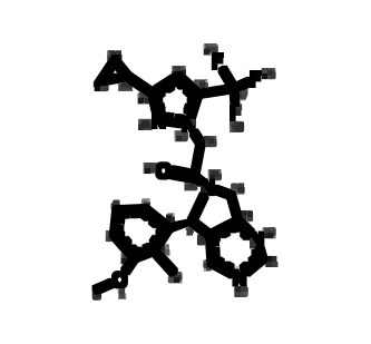 COc1cccc([C@@H]2c3cncnc3CN2C(=O)Cn2nc(C3CC3)cc2C(F)(F)F)c1C